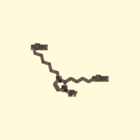 CCCCCCCCCCCCCCCCN1C=CN(C(C)C)C1CCCCCCCCCCCCCC